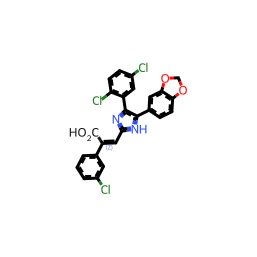 O=C(O)/C(=C\c1nc(-c2cc(Cl)ccc2Cl)c(-c2ccc3c(c2)OCO3)[nH]1)c1cccc(Cl)c1